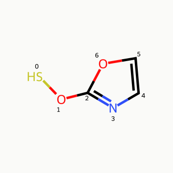 SOc1ncco1